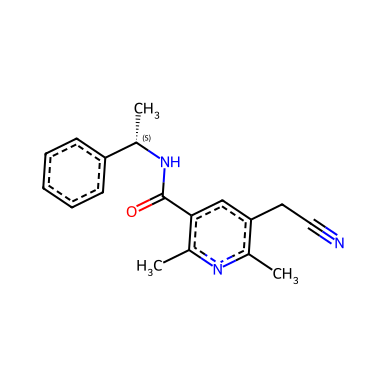 Cc1nc(C)c(C(=O)N[C@@H](C)c2ccccc2)cc1CC#N